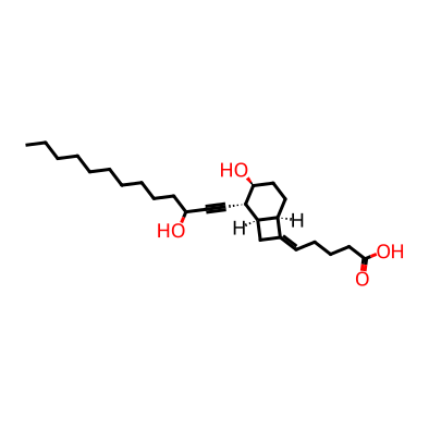 CCCCCCCCCCC(O)C#C[C@H]1[C@@H]2C/C(=C/CCCC(=O)O)[C@@H]2CC[C@@H]1O